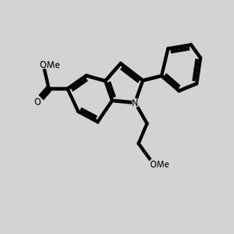 COCCn1c(-c2ccccc2)cc2cc(C(=O)OC)ccc21